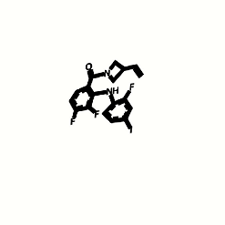 C=CC1CN(C(=O)c2ccc(F)c(F)c2Nc2ccc(I)cc2F)C1